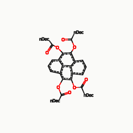 CCCCCCCCCCC(=O)Oc1c(OC(=O)CCCCCCCCCC)c2cccc3c(OC(=O)CCCCCCCCCC)c(OC(=O)CCCCCCCCCC)c4cccc1c4c23